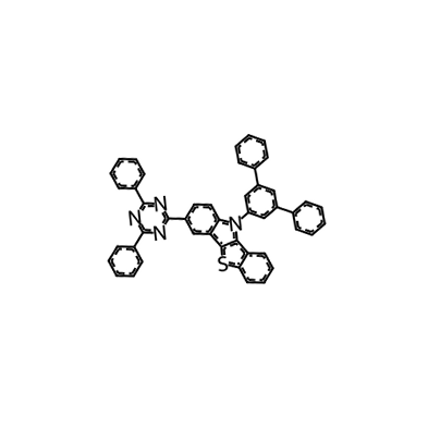 c1ccc(-c2cc(-c3ccccc3)cc(-n3c4ccc(-c5nc(-c6ccccc6)nc(-c6ccccc6)n5)cc4c4sc5ccccc5c43)c2)cc1